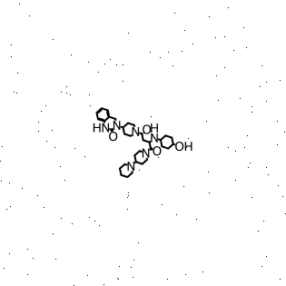 O=C(CC(NC1CCC(O)CC1)C(=O)N1CCC(N2CCCCC2)CC1)N1CCC(N2Cc3ccccc3NC2=O)CC1